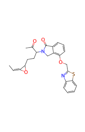 C/C=C1/OC1CCC(C(C)=O)N1Cc2c(OCc3nc4ccccc4s3)cccc2C1=O